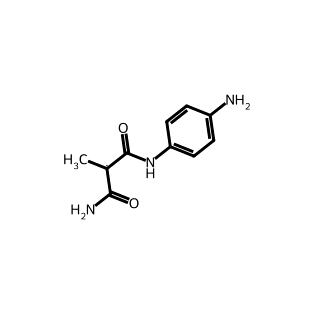 C[C](C(N)=O)C(=O)Nc1ccc(N)cc1